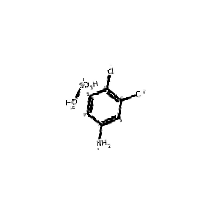 Nc1ccc(Cl)c(Cl)c1.O=S(=O)(O)O